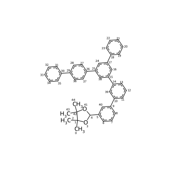 CC1(C)OC(c2cccc(-c3cccc(-c4cc(-c5ccccc5)cc(-c5ccc(-c6ccccc6)cc5)c4)c3)c2)OC1(C)C